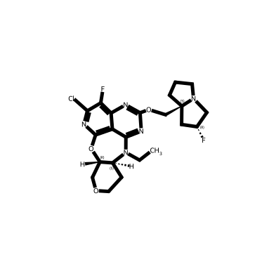 CCN1c2nc(OC[C@@]34CCCN3C[C@H](F)C4)nc3c(F)c(Cl)nc(c23)O[C@H]2COCC[C@@H]21